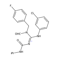 CC(C)NC(=O)/N=C(/Nc1cccc(Cl)c1)N(C=O)Cc1ccc(F)cc1